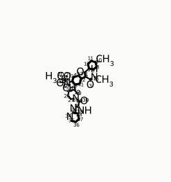 CNC(=O)c1c(-c2ccc(C)cc2)oc2cc(N(C)S(C)(=O)=O)c([C@@H]3CCCN(C(=O)c4nc5ncccc5[nH]4)C3)cc12